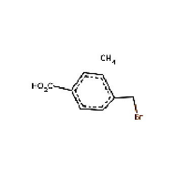 C.O=C(O)c1ccc(CBr)cc1